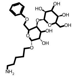 NCCCCCO[C@@H]1OC(COc2ccccc2)[C@@H](O[C@@H]2OC(CO)[C@H](O)C(O)[C@@H]2O)C(O)[C@@H]1O